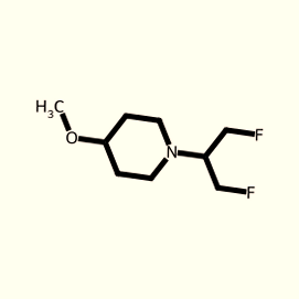 COC1CCN(C(CF)CF)CC1